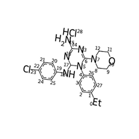 CCc1ccc(N2C(N3CCOCC3)=NC(N)=NC2Nc2ccc(Cl)cc2)cc1.Cl